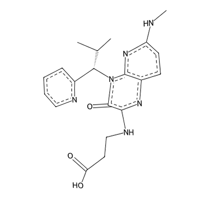 CNc1ccc2nc(NCCC(=O)O)c(=O)n([C@H](c3ccccn3)C(C)C)c2n1